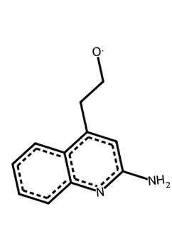 Nc1cc(CC[O])c2ccccc2n1